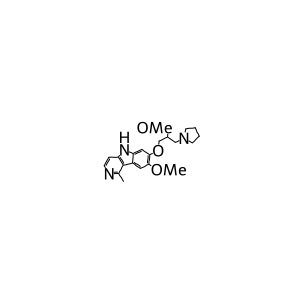 COc1cc2c(cc1OCC(CN1CCCC1)OC)[nH]c1ccnc(C)c12